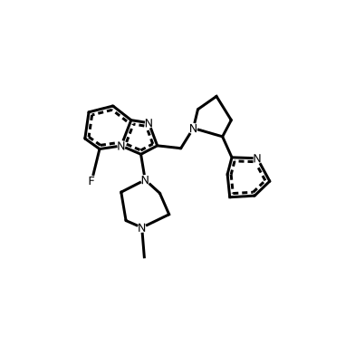 CN1CCN(c2c(CN3CCCC3c3ccccn3)nc3cccc(F)n23)CC1